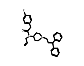 C=CCN(C(=O)Cc1ccc(F)cc1)C1CCN(CCC(c2ccccc2)c2ccccc2)CC1